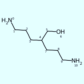 NCCCC(CO)CCCN